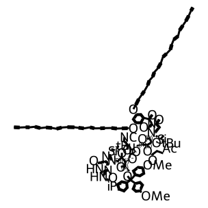 [C-]#[N+]CCOP(OC[C@H]1O[C@@H](n2ccc(=O)n(C(=O)c3cc(OC#CC#CC#CC#CC#CC#CC#CC#CC#CC#CC#C)cc(OC#CC#CC#CC#CC#CC#CC#CC#CC#CC#CC#C)c3)c2=O)C(O[Si](C)(C)C(C)(C)C)[C@H]1OC(=O)CCC(C)=O)O[C@@H]1C(O[Si](C)(C)C(C)(C)C)[C@H](n2cnc3c(=O)[nH]c(NC(=O)C(C)C)nc32)O[C@@H]1COC(c1ccccc1)(c1ccc(OC)cc1)c1ccc(OC)cc1